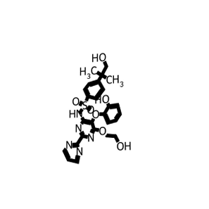 CC(C)(CO)c1ccc(S(=O)(=O)Nc2nc(-c3ncccn3)nc(OCCO)c2Oc2ccccc2O)cc1